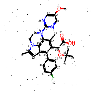 COc1cnc(N2CCn3c(C)cc4c(-c5ccc(F)cc5)c([C@H](OC(C)(C)C)C(=O)O)c(C)c2c43)nc1